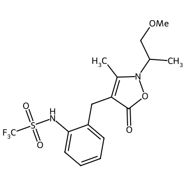 COCC(C)n1oc(=O)c(Cc2ccccc2NS(=O)(=O)C(F)(F)F)c1C